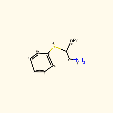 CCCC(CN)Sc1ccccc1